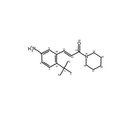 CC(C)(C)c1ccc(N)cc1/C=C/C(=O)N1CCCCC1